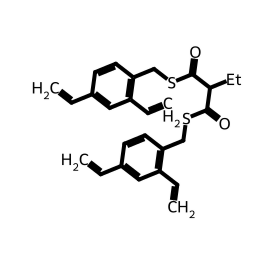 C=Cc1ccc(CSC(=O)C(CC)C(=O)SCc2ccc(C=C)cc2C=C)c(C=C)c1